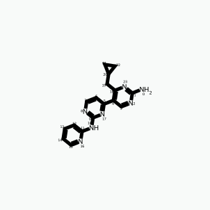 Nc1ncc(-c2ccnc(Nc3ccccn3)n2)c(CC2CC2)n1